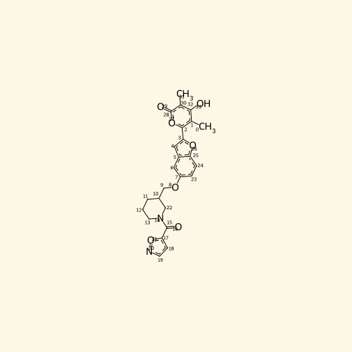 Cc1c(-c2cc3cc(OCC4CCCN(C(=O)c5ccno5)C4)ccc3o2)oc(=O)c(C)c1O